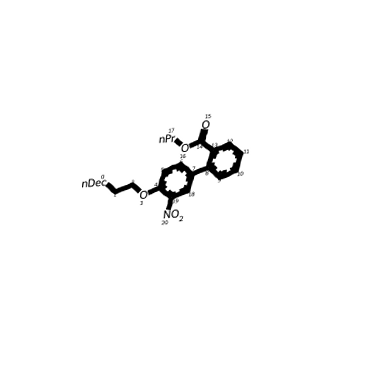 CCCCCCCCCCCCOc1ccc(-c2ccccc2C(=O)OCCC)cc1[N+](=O)[O-]